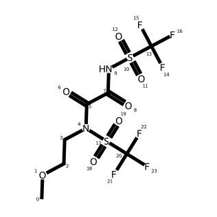 COCCN(C(=O)C(=O)NS(=O)(=O)C(F)(F)F)S(=O)(=O)C(F)(F)F